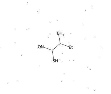 BC(CC)C(S)N=O